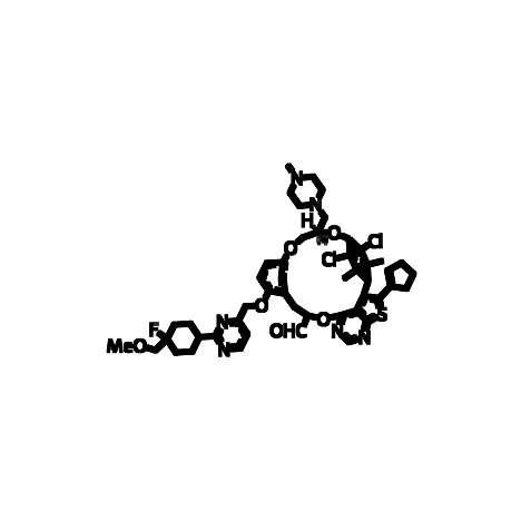 COCC1(F)CCC(c2nccc(COc3ccc4cc3CC(C=O)Oc3ncnc5sc(C6=CCCC6)c(c35)-c3c(C)c(Cl)c(c(Cl)c3C)O[C@H](CN3CCN(C)CC3)CO4)n2)CC1